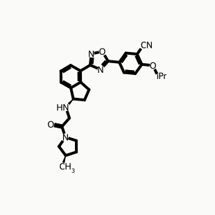 CC(C)Oc1ccc(-c2nc(-c3cccc4c3CC[C@H]4NCC(=O)N3CC[C@@H](C)C3)no2)cc1C#N